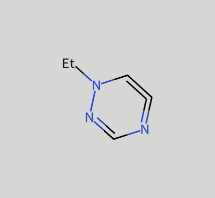 CCN1C=C=NC=N1